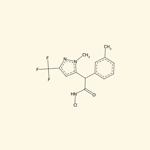 Cc1cccc(C(C(=O)NCl)c2cc(C(F)(F)F)nn2C)c1